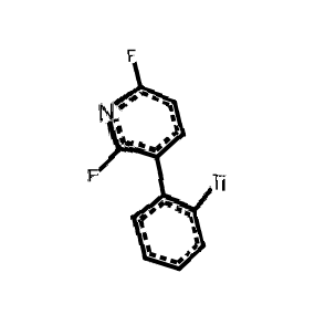 Fc1ccc(-c2cccc[c]2[Ti])c(F)n1